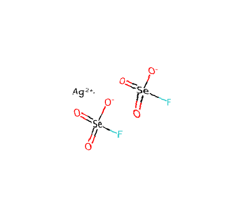 O=[Se](=O)([O-])F.O=[Se](=O)([O-])F.[Ag+2]